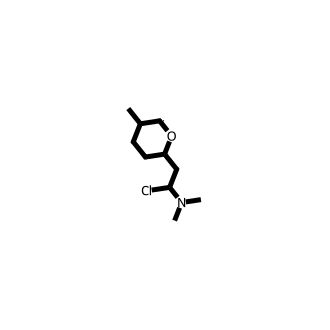 CC1[CH]OC(CC(Cl)N(C)C)CC1